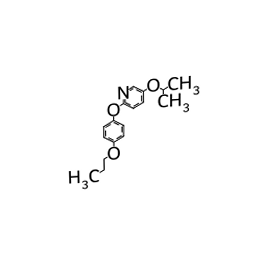 CCCOc1ccc(Oc2ccc(OC(C)C)cn2)cc1